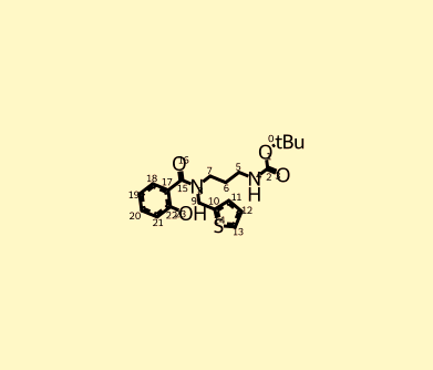 CC(C)(C)OC(=O)NCCCN(Cc1cccs1)C(=O)c1ccccc1O